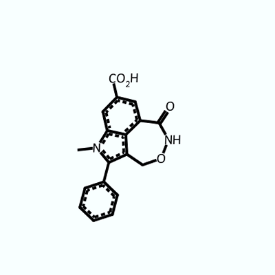 Cn1c(-c2ccccc2)c2c3c(cc(C(=O)O)cc31)C(=O)NOC2